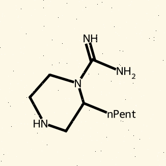 CCCCCC1CNCCN1C(=N)N